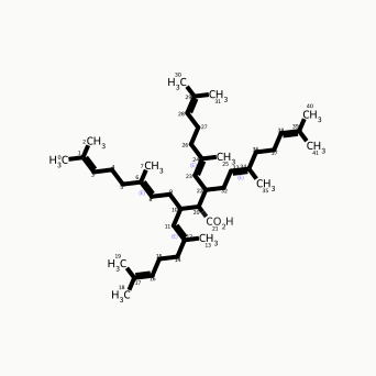 CC(C)=CCC/C(C)=C/CC(/C=C(\C)CCC=C(C)C)C(C(=O)O)C(/C=C(\C)CCC=C(C)C)C/C=C(\C)CCC=C(C)C